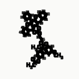 COc1ccc(C(C)(C(=O)OCCOC(=O)OC2C(Cc3ccccc3)C(=O)N(c3ccccc3)C(=O)N2Cc2ccccc2)c2ccc(OC(C)=O)cc2)cc1